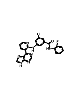 O=C(Nc1ccccc1F)c1cc(Cl)cc(Nc2ncccc2-c2ncnc3[nH]cnc23)c1